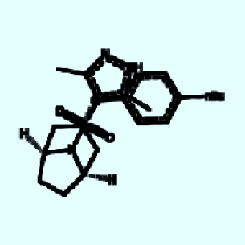 CCCCc1ccc(O[C@@H]2C[C@H]3CC[C@@H](C2)N3S(=O)(=O)c2c(C)n[nH]c2C)cc1